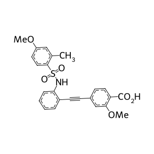 COc1ccc(S(=O)(=O)Nc2ccccc2C#Cc2ccc(C(=O)O)c(OC)c2)c(C)c1